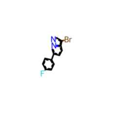 Fc1ccc(-c2ccc3c(Br)cnn3c2)cc1